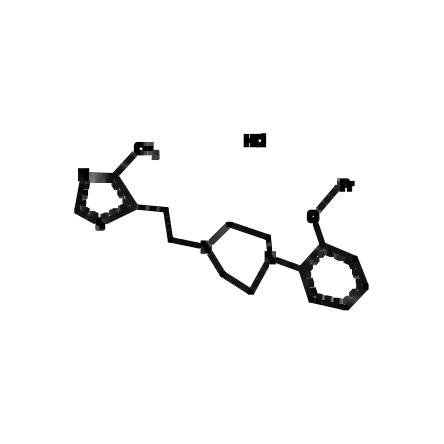 Cc1ncsc1CCN1CCN(c2ccccc2OC(C)C)CC1.Cl